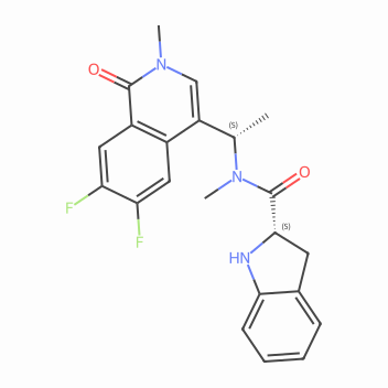 C[C@@H](c1cn(C)c(=O)c2cc(F)c(F)cc12)N(C)C(=O)[C@@H]1Cc2ccccc2N1